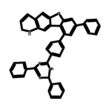 C1=Cc2cc3oc4cc(-c5ccccc5)cc(-c5ccc(C6=NC(c7ccccc7)=NC(c7ccccc7)N6)cc5)c4c3cc2NC1